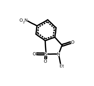 CCN1C(=O)c2ccc([N+](=O)[O-])cc2S1(=O)=O